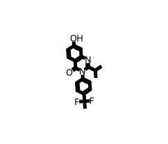 CC(C)c1nc2cc(O)ccc2c(=O)n1-c1ccc(C(C)(F)F)cc1